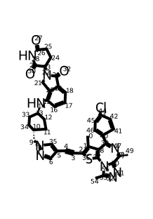 Cc1c(C#Cc2cnn(C[C@H]3CC[C@H](Nc4cccc5c4CN(C4CCC(=O)NC4=O)C5=O)CC3)c2)sc2c1C(c1ccc(Cl)cc1)=N[C@@H](C)c1nnc(C)n1-2